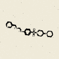 O=S(=O)(c1ccc(NCNCc2cccnc2)cc1)N1CCC(N2CCCCC2)CC1